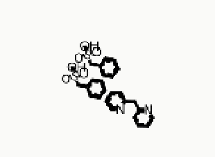 O=S(=O)(O)Cc1ccccc1.O=S(=O)(O)Cc1ccccc1.c1ccc(Cc2ccccn2)nc1